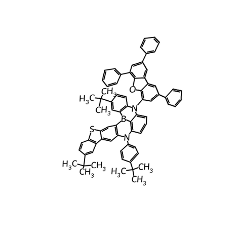 CC(C)(C)c1ccc(N2c3cc4c(cc3B3c5cc(C(C)(C)C)ccc5N(c5cc(-c6ccccc6)cc6c5oc5c(-c7ccccc7)cc(-c7ccccc7)cc56)c5cccc2c53)sc2ccc(C(C)(C)C)cc24)cc1